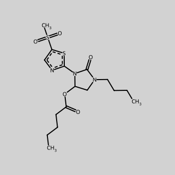 CCCCC(=O)OC1CN(CCCC)C(=O)N1c1ncc(S(C)(=O)=O)s1